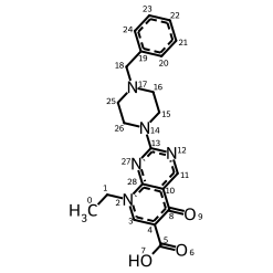 CCn1cc(C(=O)O)c(=O)c2cnc(N3CCN(Cc4ccccc4)CC3)nc21